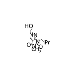 CC(C)Cn1c(=O)n(C)c(=O)c2cn(CCO)nc21